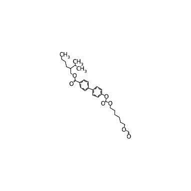 CCCCC(COC(=O)c1ccc(-c2ccc(OC(=O)OCCCCCCOC=O)cc2)cc1)C(C)C